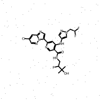 CC(C)(O)C(F)CNC(=O)c1cnc(-c2cnc3cc(Cl)cnn23)cc1Nc1cnn(CC(F)F)c1